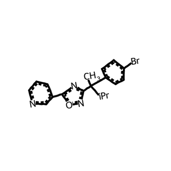 CC(C)C(C)(c1ccc(Br)cc1)c1noc(-c2cccnc2)n1